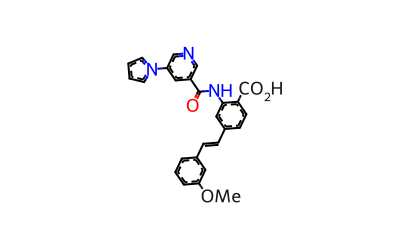 COc1cccc(C=Cc2ccc(C(=O)O)c(NC(=O)c3cncc(-n4cccc4)c3)c2)c1